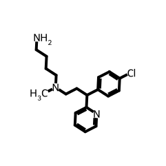 CN(CCCCN)CCC(c1ccc(Cl)cc1)c1ccccn1